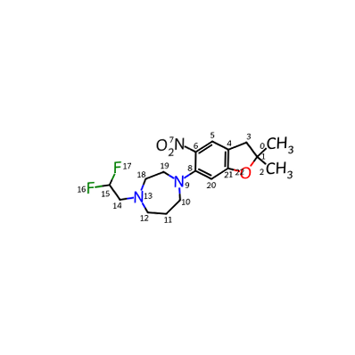 CC1(C)Cc2cc([N+](=O)[O-])c(N3CCCN(CC(F)F)CC3)cc2O1